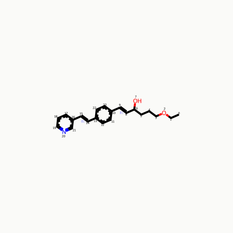 CCOCCCC(O)/C=C/c1ccc(/C=C/c2cccnc2)cc1